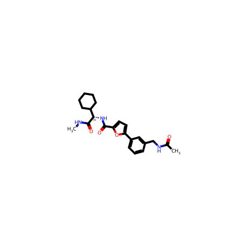 CNC(=O)[C@@H](NC(=O)c1ccc(-c2cccc(CNC(C)=O)c2)o1)C1CCCCC1